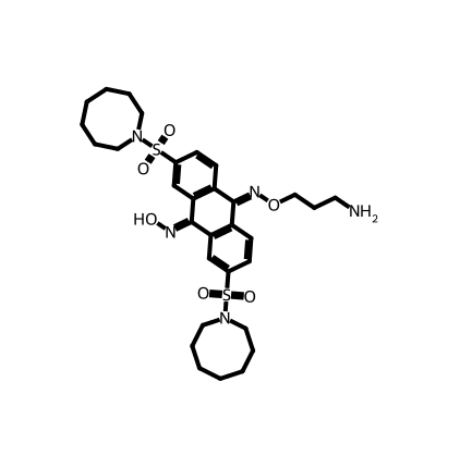 NCCCON=C1c2ccc(S(=O)(=O)N3CCCCCCC3)cc2C(=NO)c2cc(S(=O)(=O)N3CCCCCCC3)ccc21